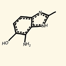 Cc1nc2ccc(O)c(N)c2[nH]1